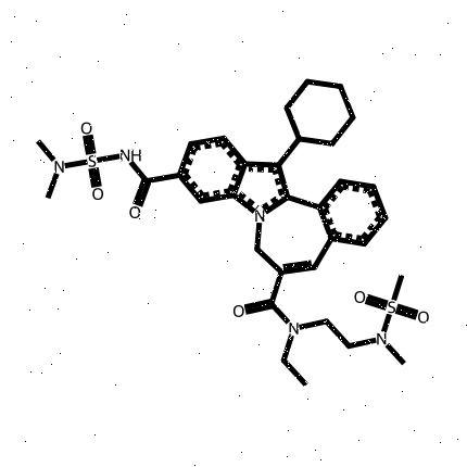 CCN(CCN(C)S(C)(=O)=O)C(=O)C1=Cc2ccccc2-c2c(C3CCCCC3)c3ccc(C(=O)NS(=O)(=O)N(C)C)cc3n2C1